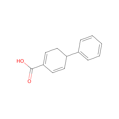 O=C(O)C1=CCC(c2ccccc2)C=C1